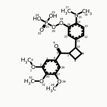 COc1cc(C(=O)C2CCC2c2ccc(N(C)C)c(OOP(=O)(O)O)c2)cc(OC)c1OC